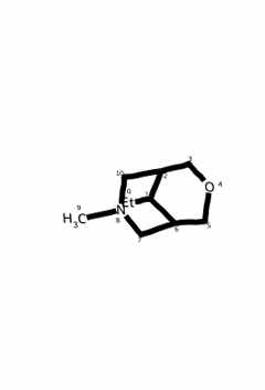 CCC1C2COCC1CN(C)C2